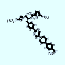 CC(C)(C)c1ccc(C(=O)N[C@@H](Cc2ccc(-c3ncc(N4CCC(c5ccc(CC#N)cc5)CC4)cn3)cc2)C(=O)N2CC(C(=O)O)C2)s1